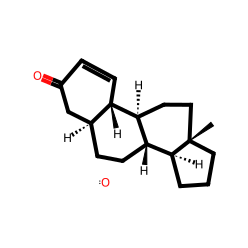 C[C@@]12CCC[C@H]1[C@@H]1CC[C@H]3CC(=O)C=C[C@@H]3[C@H]1CC2.[O]